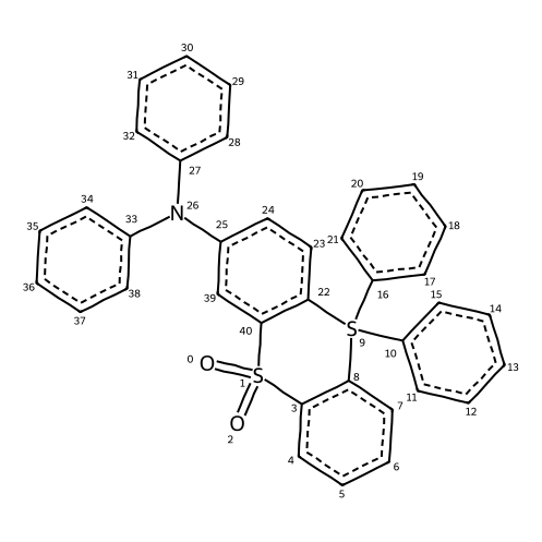 O=S1(=O)c2ccccc2S(c2ccccc2)(c2ccccc2)c2ccc(N(c3ccccc3)c3ccccc3)cc21